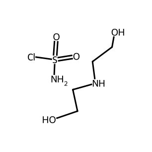 NS(=O)(=O)Cl.OCCNCCO